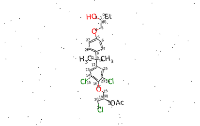 CC[C@@H](O)COc1ccc(C(C)(C)c2cc(Cl)c(OC[C@H](CCl)OC(C)=O)c(Cl)c2)cc1